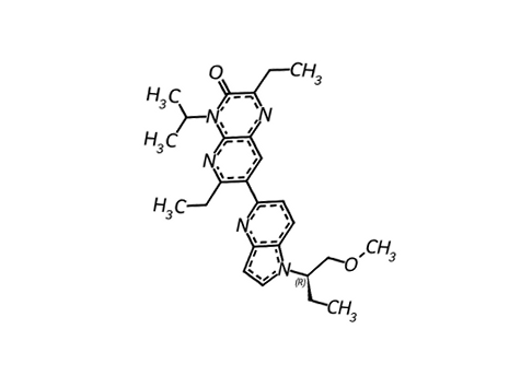 CCc1nc2c(cc1-c1ccc3c(ccn3[C@H](CC)COC)n1)nc(CC)c(=O)n2C(C)C